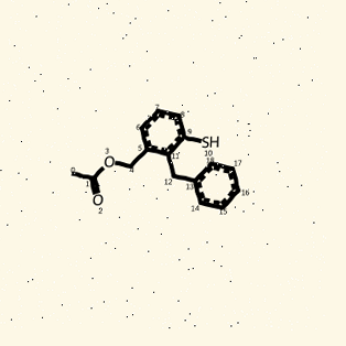 CC(=O)OCc1cccc(S)c1Cc1ccccc1